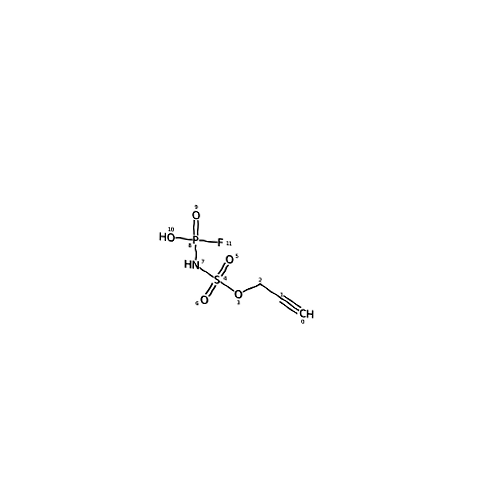 C#CCOS(=O)(=O)NP(=O)(O)F